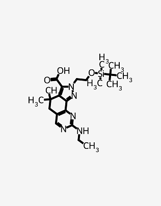 CCNc1ncc2c(n1)-c1nn(CCO[Si](C)(C)C(C)(C)C)c(C(=O)O)c1C(C)(C)C2